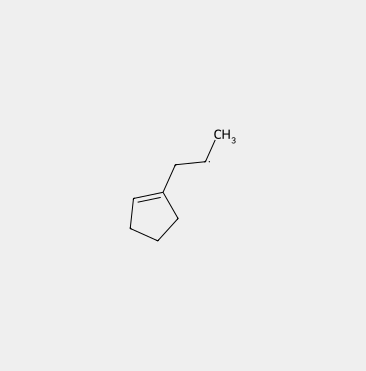 C[CH]CC1=CCCC1